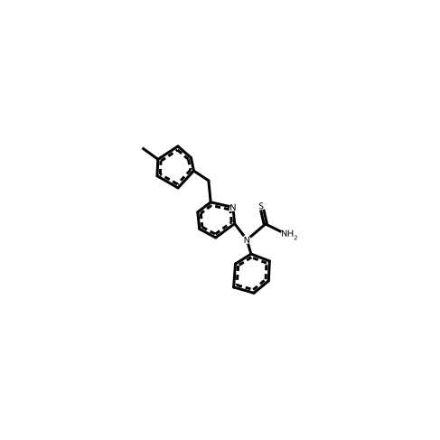 Cc1ccc(Cc2cccc(N(C(N)=S)c3ccccc3)n2)cc1